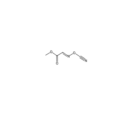 COC(=O)C=NOC#N